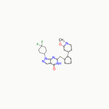 COc1cc(-c2ccccc2Cc2nc3c(cnn3C3CCC(F)(F)CC3)c(=O)[nH]2)ccn1